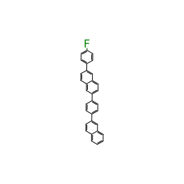 Fc1ccc(-c2ccc3cc(-c4ccc(-c5ccc6ccccc6c5)cc4)ccc3c2)cc1